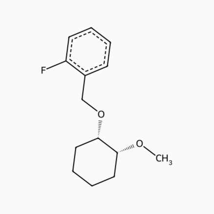 CO[C@@H]1CCCC[C@@H]1OCc1ccccc1F